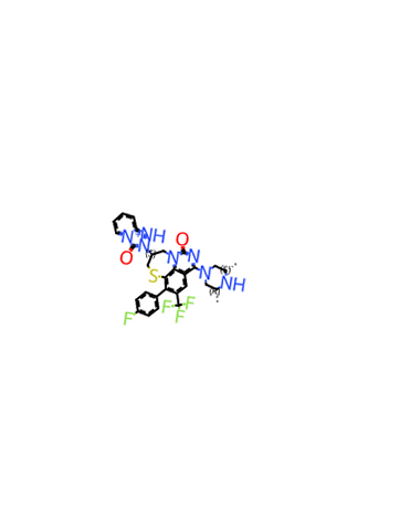 C[C@@H]1CN(c2nc(=O)n3c4c(c(-c5ccc(F)cc5)c(C(F)(F)F)cc24)SC[C@@H](n2[nH]c4cccc[n+]4c2=O)C3)C[C@H](C)N1